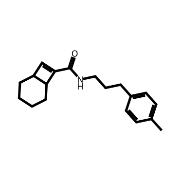 Cc1ccc(CCCNC(=O)C2=CC3CCCCC23)cc1